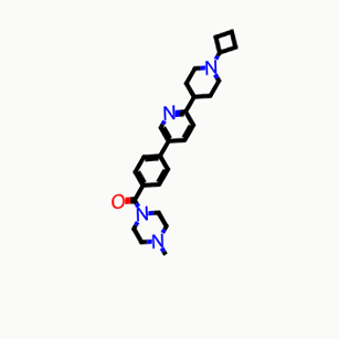 CN1CCN(C(=O)c2ccc(-c3ccc(C4CCN(C5CCC5)CC4)nc3)cc2)CC1